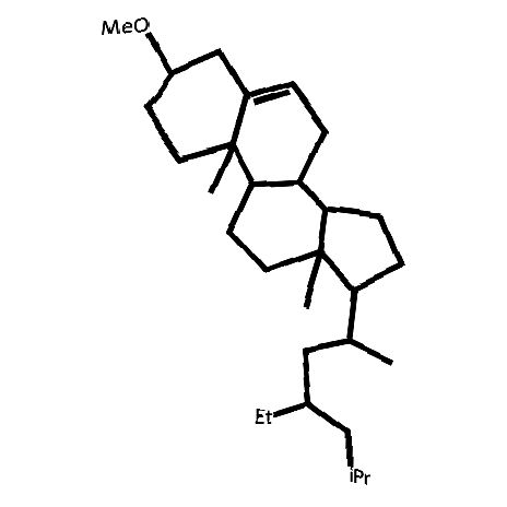 CCC(CC(C)C)CC(C)C1CCC2C3CC=C4CC(OC)CCC4(C)C3CCC12C